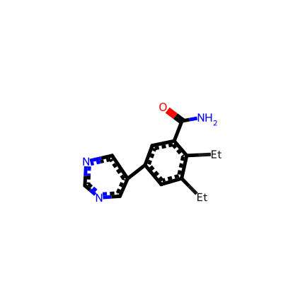 CCc1cc(-c2cncnc2)cc(C(N)=O)c1CC